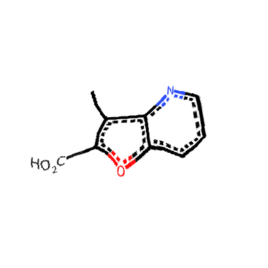 Cc1c(C(=O)O)oc2cccnc12